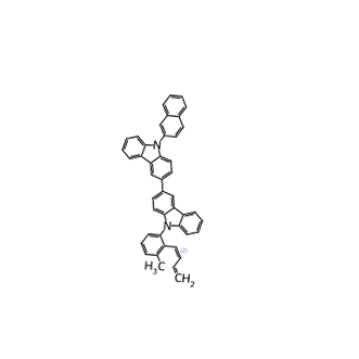 C=C/C=C\c1c(C)cccc1-n1c2ccccc2c2cc(-c3ccc4c(c3)c3ccccc3n4-c3ccc4ccccc4c3)ccc21